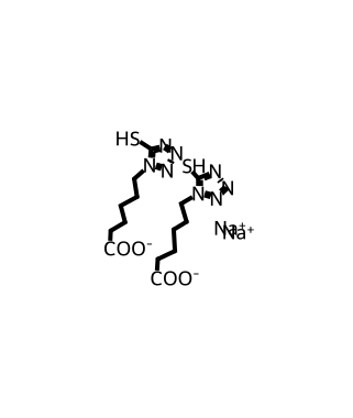 O=C([O-])CCCCCn1nnnc1S.O=C([O-])CCCCCn1nnnc1S.[Na+].[Na+]